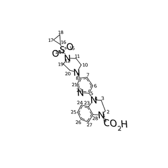 O=C(O)N1CCN(c2ccc(N3CCN(S(=O)(=O)C4CC4)CC3)cn2)c2ccccc21